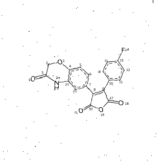 O=C1COc2ccc(C3=C(c4ccc(F)cc4)C(=O)OC3=O)cc2N1